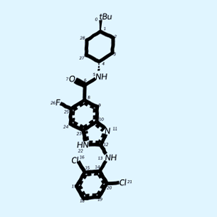 CC(C)(C)[C@H]1CC[C@H](NC(=O)c2cc3nc(Nc4c(Cl)cccc4Cl)[nH]c3cc2F)CC1